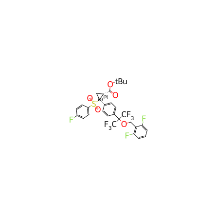 CC(C)(C)OC(=O)[C@H]1C[C@]1(c1ccc(C(OCc2c(F)cccc2F)(C(F)(F)F)C(F)(F)F)cc1)S(=O)(=O)c1ccc(F)cc1